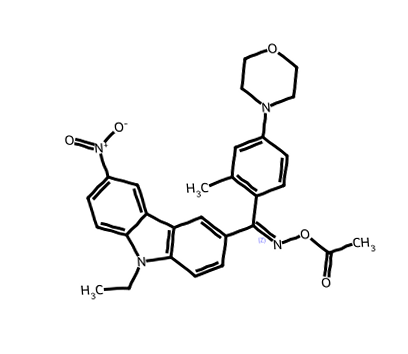 CCn1c2ccc(/C(=N/OC(C)=O)c3ccc(N4CCOCC4)cc3C)cc2c2cc([N+](=O)[O-])ccc21